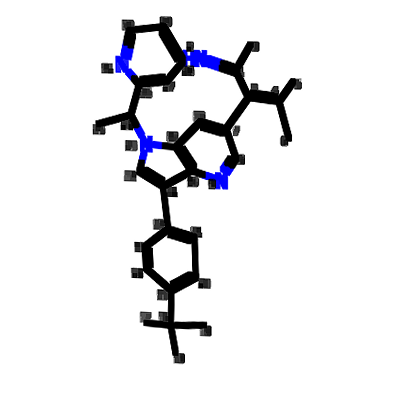 CC(=N)C(=C(C)C)c1cnc2c(-c3ccc(C(C)(C)C)cc3)cn(C(C)c3ccccn3)c2c1